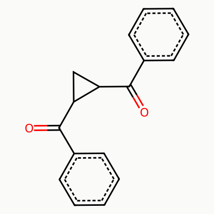 O=C(c1ccccc1)C1CC1C(=O)c1ccccc1